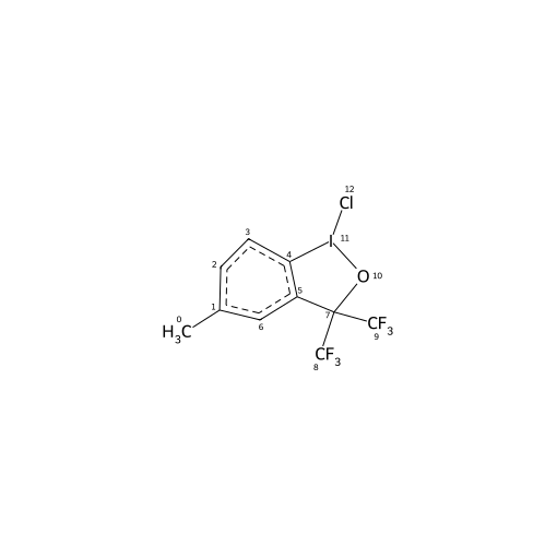 Cc1ccc2c(c1)C(C(F)(F)F)(C(F)(F)F)OI2Cl